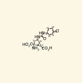 NC1(C(=O)O)CC(NC(=O)Nc2ccc(Cl)cc2)C2C(C(=O)O)C21